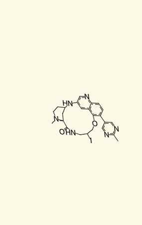 Cc1ncc(-c2ccc3ncc4cc3c2OCC(I)CNC(=O)C2(C)CC(CCN2C)N4)cn1